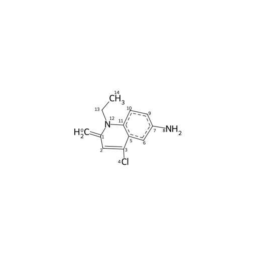 C=C1C=C(Cl)c2cc(N)ccc2N1CC